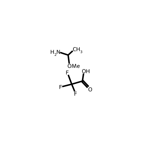 COC(C)N.O=C(O)C(F)(F)F